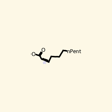 CCCCCCCC/C=C\C([O])=O